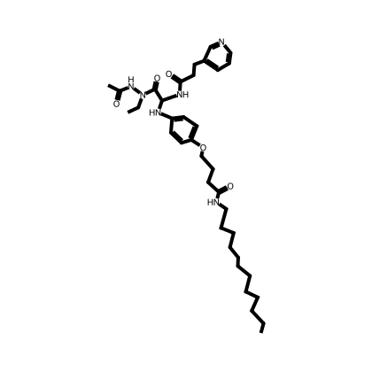 CCCCCCCCCCCCNC(=O)CCCOc1ccc(NC(NC(=O)CCc2cccnc2)C(=O)N(CC)NC(C)=O)cc1